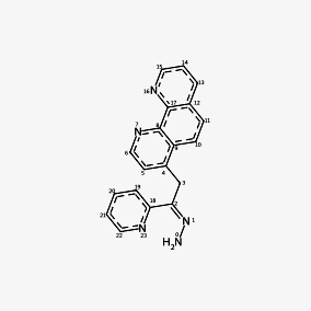 N/N=C(/Cc1ccnc2c1ccc1cccnc12)c1ccccn1